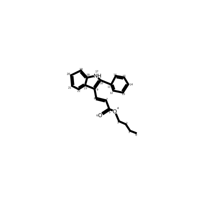 CCCCOC(=O)/C=C/c1c(-c2ccccc2)[nH]c2ccccc12